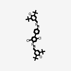 CC(C)(C)C1=CC(=C/N=N/c2ccc(-c3cc(Cl)c(/N=N/C=C4C=C(C(C)(C)C)C(=O)C(C(C)(C)C)=C4)cc3Cl)cc2)C=C(C(C)(C)C)C1=O